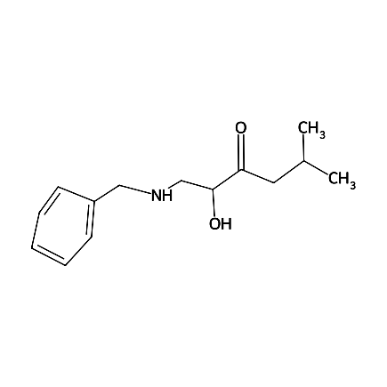 CC(C)CC(=O)C(O)CNCc1ccccc1